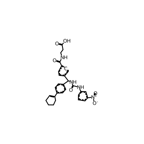 O=C(O)CCNC(=O)c1ccc(C(NC(=O)Nc2cccc([N+](=O)[O-])c2)c2ccc(C3=CCCCC3)cc2)cc1